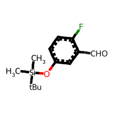 CC(C)(C)[Si](C)(C)Oc1ccc(F)c(C=O)c1